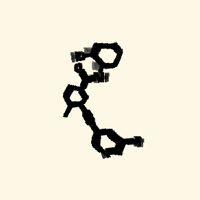 Cc1ccc(C(=O)N[C@H]2CCCC[C@@H]2O)cc1C#Cc1cncc(Br)c1